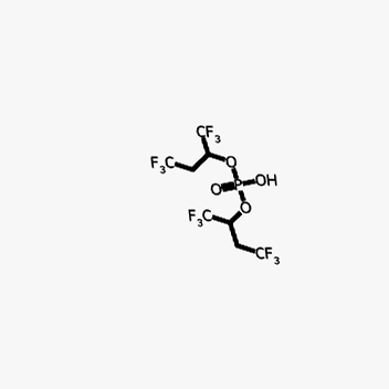 O=P(O)(OC(CC(F)(F)F)C(F)(F)F)OC(CC(F)(F)F)C(F)(F)F